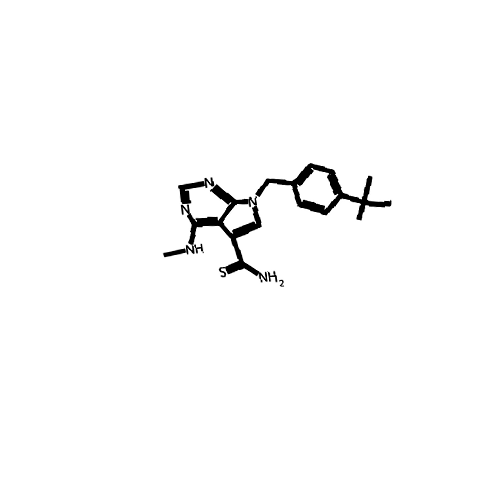 CNc1ncnc2c1c(C(N)=S)cn2Cc1ccc(C(C)(C)C)cc1